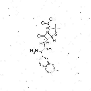 Cc1ccc2ccc(C(N)C(=O)N[C@@]3(C)C(=O)N4[C@@H](C(=O)O)C(C)(C)S[C@@H]43)cc2c1